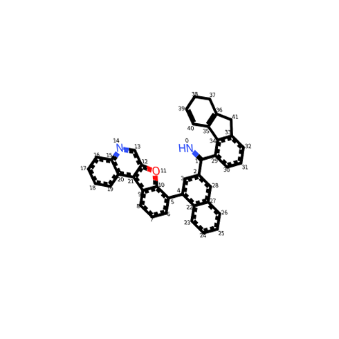 N=C(c1cc(-c2cccc3c2oc2cnc4ccccc4c23)c2ccccc2c1)c1cccc2c1C1=C(CCC=C1)C2